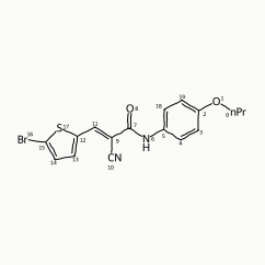 CCCOc1ccc(NC(=O)/C(C#N)=C/c2ccc(Br)s2)cc1